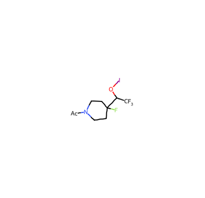 CC(=O)N1CCC(F)(C(OI)C(F)(F)F)CC1